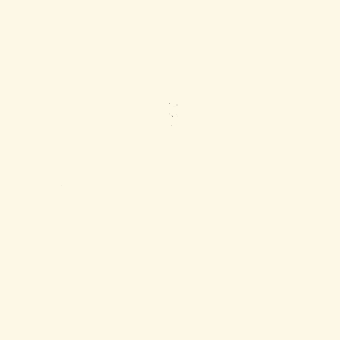 CCCCCCCC/C=C\CCCCCCCCOS(=O)(=O)[O-].O=S(=O)([O-])[O-].[Na+].[Na+].[Na+]